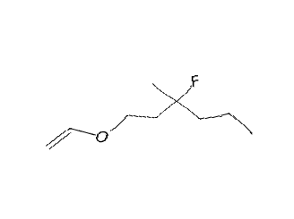 C=COCCC(C)(F)CCC